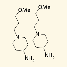 COCCCN1CCC(N)CC1.COCCCN1CCC(N)CC1